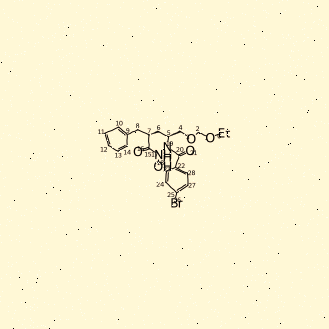 CCOCOC[C@H](C[C@H](Cc1ccccc1)C(=O)NO)NC(=O)c1ccc(Br)cc1